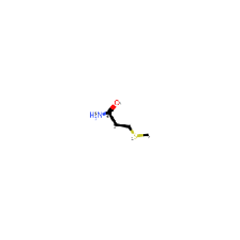 CSC[CH]C(N)=O